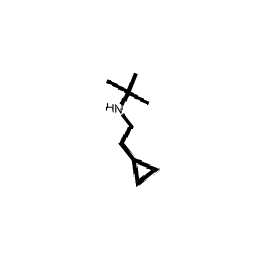 CC(C)(C)NCCC1CC1